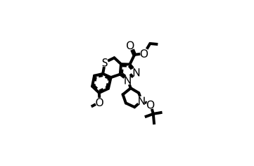 CCOC(=O)c1nn(C2CCCN(OC(C)(C)C)C2)c2c1CSc1ccc(OC)cc1-2